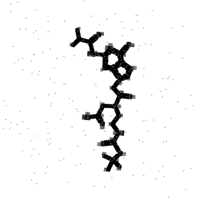 CC(C)C(=O)Nc1nc2c(ncn2CC(=O)N(CCNC(=O)OC(C)(C)C)CC(=O)O)c(=O)[nH]1